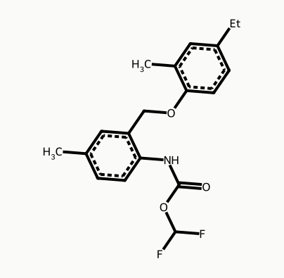 CCc1ccc(OCc2cc(C)ccc2NC(=O)OC(F)F)c(C)c1